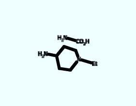 CCN1CCC(N)CC1.NC(=O)O